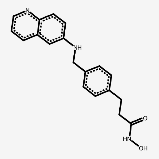 O=C(CCc1ccc(CNc2ccc3ncccc3c2)cc1)NO